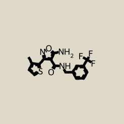 Cc1ccsc1-c1noc(N)c1C(=O)NCc1cccc(C(F)(F)F)c1